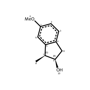 COc1ccc2c(c1)[C@H](C)[C@H](O)C2